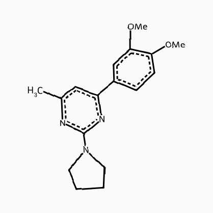 COc1ccc(-c2cc(C)nc(N3CCCC3)n2)cc1OC